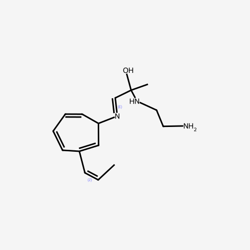 C/C=C\C1=CC(/N=C/C(C)(O)NCCN)C=CC=C1